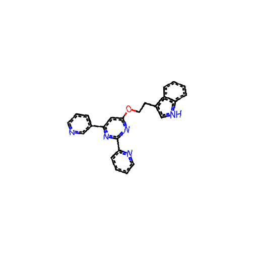 c1ccc(-c2nc(OCCc3c[nH]c4ccccc34)cc(-c3cccnc3)n2)nc1